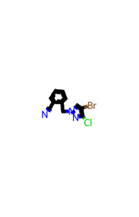 N#Cc1ccccc1Cn1cc(Br)c(Cl)n1